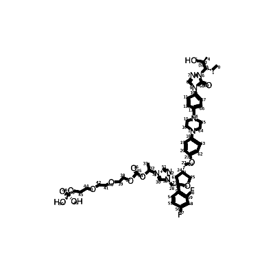 CC[C@@H]([C@H](C)O)n1ncn(-c2ccc(N3CCN(c4ccc(OC[C@@H]5CO[C@@](Cn6c[n+](C(C)OC(=O)OCCOCCOCCOP(=O)(O)O)cn6)(c6ccc(F)cc6F)C5)cc4)CC3)cc2)c1=O